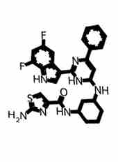 Nc1nc(C(=O)NC2CCCC(NC3C=C(c4ccccc4)N=C(c4c[nH]c5c(F)cc(F)cc45)N3)C2)cs1